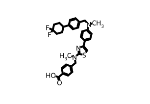 CN(Cc1ccc(C2CCC(F)(F)CC2)cc1)c1ccc(-c2csc(N(C)Cc3ccc(C(=O)O)cc3)n2)cc1